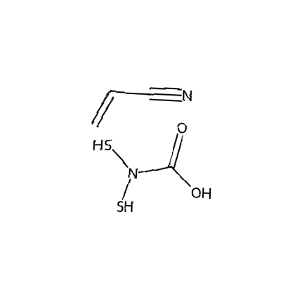 C=CC#N.O=C(O)N(S)S